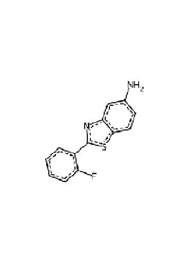 Nc1ccc2sc(-c3ccccc3F)nc2c1